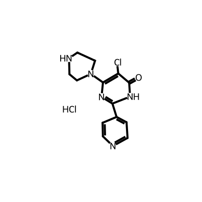 Cl.O=c1[nH]c(-c2ccncc2)nc(N2CCNCC2)c1Cl